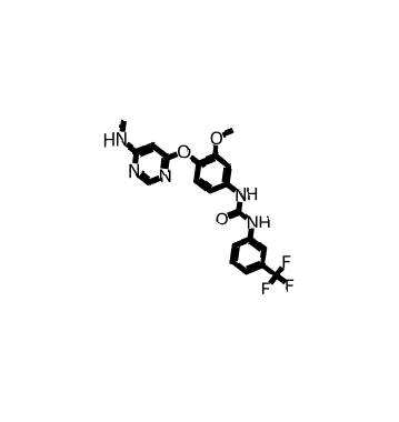 CNc1cc(Oc2ccc(NC(=O)Nc3cccc(C(F)(F)F)c3)cc2OC)ncn1